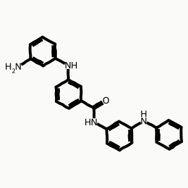 Nc1cccc(Nc2cccc(C(=O)Nc3cccc(Nc4ccccc4)c3)c2)c1